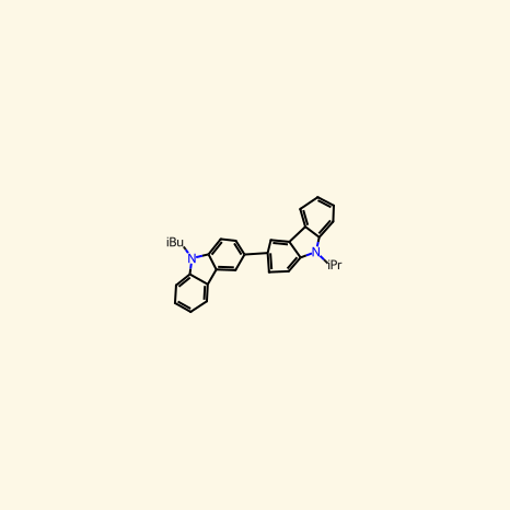 CCC(C)n1c2ccccc2c2cc(-c3ccc4c(c3)c3ccccc3n4C(C)C)ccc21